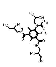 CC(=O)N(CC(O)O)c1c(C)c(C(=O)NCC(O)CO)c(I)c(C(=O)NCC(O)CO)c1I